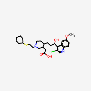 COc1ccc2ncc(Cl)c([C@H](O)CCC3CCN(CCSC4CCCCC4)CC3CC(=O)O)c2c1